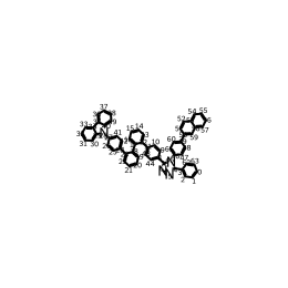 c1ccc(-c2nnc(-c3ccc(-c4ccccc4-c4ccccc4-c4ccc(-n5c6ccccc6c6ccccc65)cc4)cc3)n2-c2ccc(-c3ccc4ccccc4c3)cc2)cc1